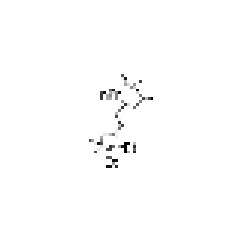 C=CN(C)C(=C)CC(C/C=C1\CC(C)(C)C(CC)=C1CC)CCC